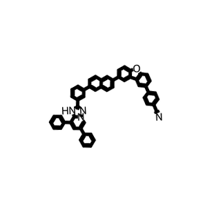 N#Cc1ccc(-c2ccc3oc4ccc(-c5ccc6cc(-c7cccc(C8=NN9C=C(c%10ccccc%10)C=C(c%10ccccc%10)C9N8)c7)ccc6c5)cc4c3c2)cc1